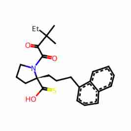 CCC(C)(C)C(=O)C(=O)N1CCC[C@@]1(CCCc1cccc2ccccc12)C(O)=S